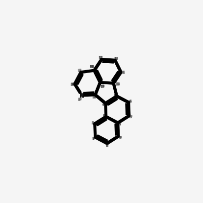 c1ccc2c3c(ccc2c1)-c1cccc2ccnc-3c12